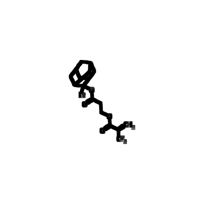 C=C(C(=O)OCCC(=O)OC1(CC)C2CC3CC(C2)CC1C3)C(F)(F)F